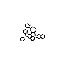 C1=C(n2c3ccccc3c3cc4ccccc4cc32)\C(c2cccc3c2c2ccccc2n3-c2ccccc2)=N/c2c(oc3ccccc23)CC/1